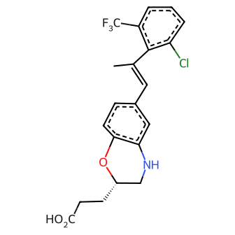 C/C(=C\c1ccc2c(c1)NC[C@H](CCC(=O)O)O2)c1c(Cl)cccc1C(F)(F)F